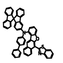 c1ccc(-c2ccc(N(c3ccc4c(c3)-c3ccccc3C43c4ccccc4-c4ccccc43)c3cccc4oc5c(-c6nc7ccccc7s6)c6ccccc6cc5c34)cc2)cc1